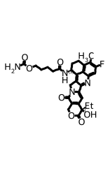 CC[C@@]1(O)C(=O)OCc2c1cc1n(c2=O)Cc2c-1nc1cc(F)c(C)c3c1c2[C@@H](NC(=O)CCCCOC(N)=O)CC3